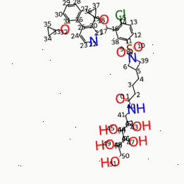 O=C(CCCC1CN(S(=O)(=O)c2ccc(Cl)c(COC3(c4cnccc4-c4ccccc4OC4CC4)CC3)c2)C1)NC[C@H](O)[C@@H](O)[C@H](O)[C@H](O)CO